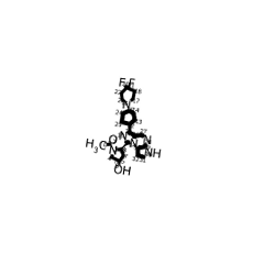 CC(=O)N1C[C@H](O)C[C@@H]1c1nc(-c2ccc(N3CCC(F)(F)CC3)cc2)c2cnc3[nH]ccc3n12